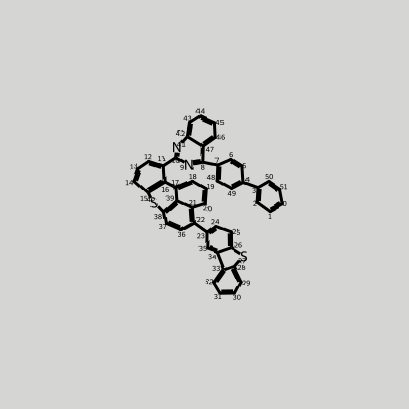 c1ccc(-c2ccc(-c3nc(-c4cccc5c4-c4cccc6c(-c7ccc8sc9ccccc9c8c7)ccc(c46)S5)nc4ccccc34)cc2)cc1